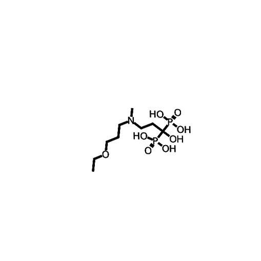 CCOCCCN(C)CCC(O)(P(=O)(O)O)P(=O)(O)O